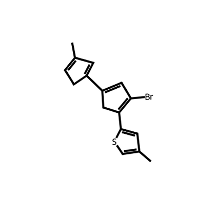 CC1=CCC(C2=CC(Br)=C(c3cc(C)cs3)C2)=C1